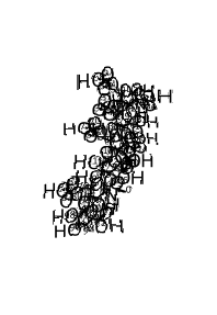 CC(=O)N[C@H]1[C@@H](O[C@H]2[C@H](O)[C@@H](O)[C@H](O[C@H]3[C@H](OS(=O)(=O)O)[C@@H](NS(=O)(=O)O)[C@@H](O[C@H]4[C@H](O)[C@@H](OS(=O)(=O)O)[C@H](O[C@H]5[C@H](O)[C@@H](NS(=O)(=O)O)C(O)O[C@@H]5COS(=O)(=O)O)O[C@H]4C(=O)O)O[C@@H]3COS(=O)(=O)O)O[C@@H]2C(=O)O)O[C@H](COS(=O)(=O)O)[C@@H](O[C@@H]2O[C@@H](C(=O)O)[C@@H](C)[C@H](O)[C@H]2O)[C@@H]1O